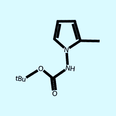 Cc1cccn1NC(=O)OC(C)(C)C